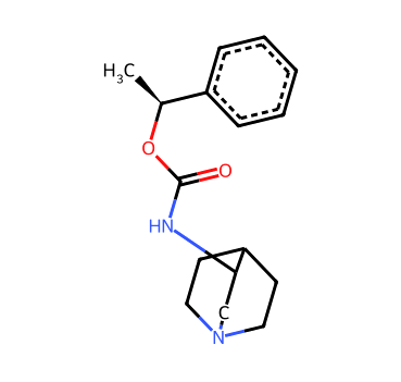 C[C@H](OC(=O)NC1CN2CCC1CC2)c1ccccc1